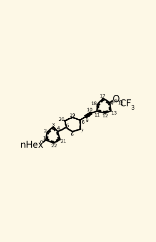 CCCCCCc1ccc(C2CCC(C#Cc3ccc(OC(F)(F)F)cc3)CC2)cc1